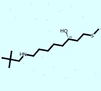 [CH2]SCC[C@@H](O)CCCCCNCC(C)(C)C